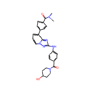 CN(C)C(=O)c1ccc(-c2cccn3nc(Nc4ccc(C(=O)N5CCC(O)CC5)cc4)nc23)cc1